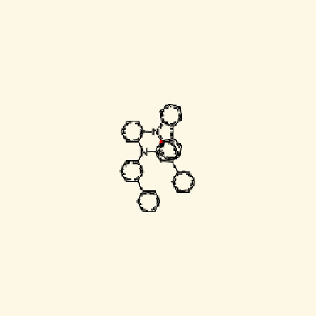 c1ccc(-c2cccc(N(c3cccc(-c4ccccc4)c3)c3ccccc3-n3c4ccccc4c4ccccc43)c2)cc1